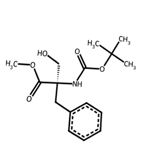 COC(=O)[C@](CO)(Cc1ccccc1)NC(=O)OC(C)(C)C